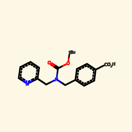 CC(C)(C)OC(=O)N(Cc1ccc(C(=O)O)cc1)Cc1ccccn1